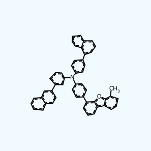 Cc1cccc2c1oc1c(-c3ccc(N(c4ccc(-c5cccc6ccccc56)cc4)c4cccc(-c5ccc6ccccc6c5)c4)cc3)cccc12